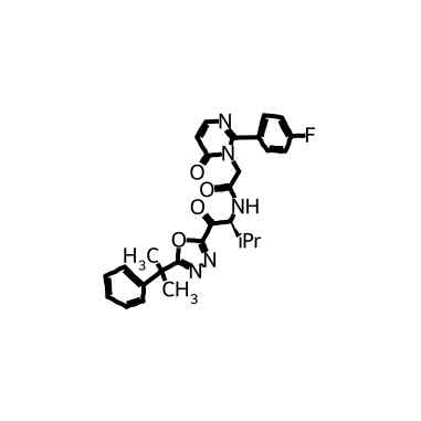 CC(C)[C@H](NC(=O)Cn1c(-c2ccc(F)cc2)nccc1=O)C(=O)c1nnc(C(C)(C)c2ccccc2)o1